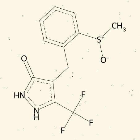 C[S+]([O-])c1ccccc1Cc1c(C(F)(F)F)[nH][nH]c1=O